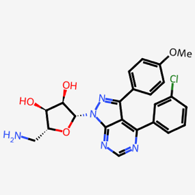 COc1ccc(-c2nn([C@@H]3O[C@H](CN)[C@@H](O)[C@H]3O)c3ncnc(-c4cccc(Cl)c4)c23)cc1